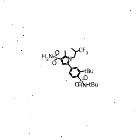 Cc1c(S(N)(=O)=O)cc(-c2ccc(S(=O)(=O)NC(C)(C)C)c(C(C)(C)C)c2)n1CC(C)C(F)(F)F